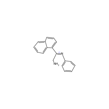 NC/C(=N\c1ccccc1)c1cccc2ccccc12